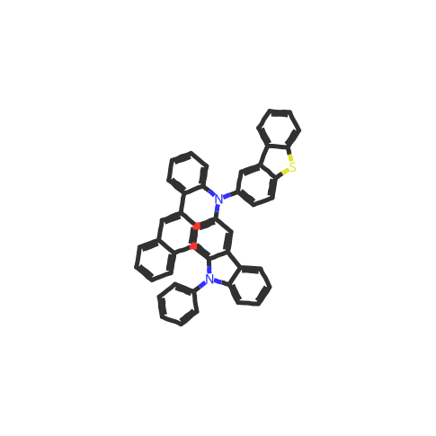 c1ccc(-n2c3ccccc3c3cc(N(c4ccc5sc6ccccc6c5c4)c4ccccc4-c4ccc5ccccc5c4)ccc32)cc1